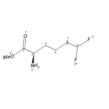 COC(=O)[C@H](N)CCSC(F)F